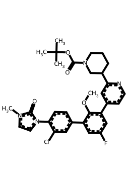 COc1c(-c2ccnc(C3CCCN(C(=O)OC(C)(C)C)C3)c2)cc(F)cc1-c1ccc(-n2ccn(C)c2=O)c(Cl)c1